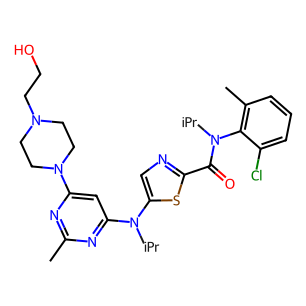 Cc1nc(N2CCN(CCO)CC2)cc(N(c2cnc(C(=O)N(c3c(C)cccc3Cl)C(C)C)s2)C(C)C)n1